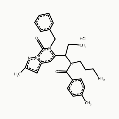 CCC(c1cc2cc(C)nn2c(=O)n1Cc1ccccc1)N(CCCN)C(=O)c1ccc(C)cc1.Cl